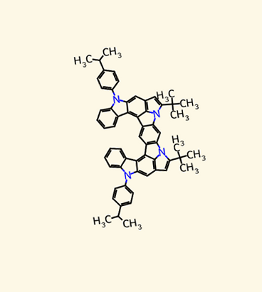 CC(C)c1ccc(-n2c3ccccc3c3c4c5cc6c7c8c9ccccc9n(-c9ccc(C(C)C)cc9)c8cc8cc(C(C)(C)C)n(c6cc5n5c(C(C)(C)C)cc(cc32)c45)c87)cc1